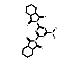 CCN(CC)c1nc(N2C(=O)C3CCCCC3C2=O)nc(N2C(=O)C3CCCCC3C2=O)n1